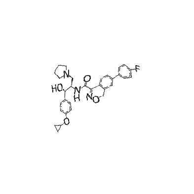 O=C(N[C@H](CN1CCCC1)[C@H](O)c1ccc(OC2CC2)cc1)C1=NOCc2cc(-c3ccc(F)cc3)ccc21